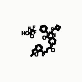 Cc1cc2cccc(N(C)CCC(=O)N3CCc4nc(SC5CCC5)n(-c5ccccc5)c(=O)c4C3)c2o1.O=C(O)C(F)(F)F